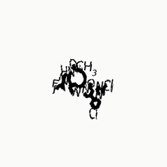 C[C@@H]1CCC[C@H](N2CCC(c3cc(Cl)ccc3-n3cnc(Cl)c3)=CC2=O)c2cc(ccn2)-c2c(cnn2C2CC2(F)F)NC1=O